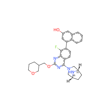 Oc1cc(-c2ccc3c(N4C[C@H]5CC[C@@H](C4)N5)nc(OCC4CCCOC4)nc3c2F)c2ccccc2c1